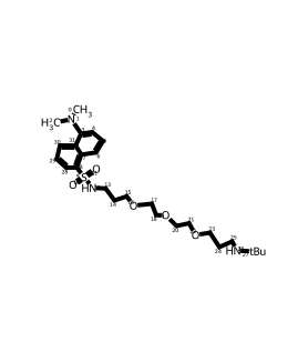 CN(C)c1cccc2c(S(=O)(=O)NCCCOCCOCCOCCCNC(C)(C)C)cccc12